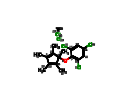 CC1=C(C)C(C)(Oc2c(Cl)cc(Cl)cc2Cl)C(C)=C1C.[Cl-].[Cl-].[Ti+2]